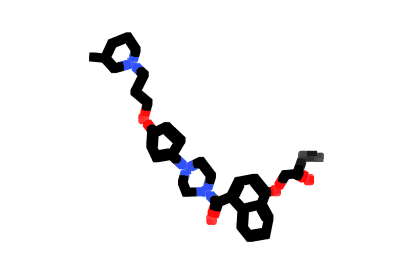 COC(=O)COc1ccc(C(=O)N2CCN(c3ccc(OCCCN4CCCC(C)C4)cc3)CC2)c2ccccc12